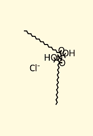 CCCCCCCCCCCCCCCCCC(=O)C(C(C)O)[N+](C)(C)C(C(=O)CCCCCCCCCCCCCCCCC)C(C)O.[Cl-]